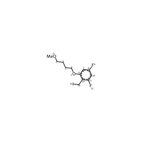 COCCCCOc1cc(F)cc(F)c1CI